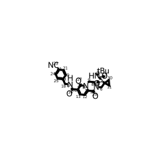 CC(C)(C)NS(=O)(=O)C1(CN2CCn3c(ccc(C(=O)NCc4ccc(C#N)cc4)c3=O)C2=O)CC1